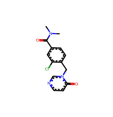 CN(C)C(=O)c1ccc(Cn2cnccc2=O)c(Cl)c1